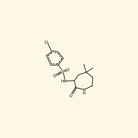 CC1(C)CCNC(=O)C(NS(=O)(=O)c2ccc(Cl)cc2)C1